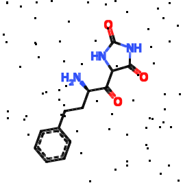 N[C@H](CCc1ccccc1)C(=O)C1NC(=O)NC1=O